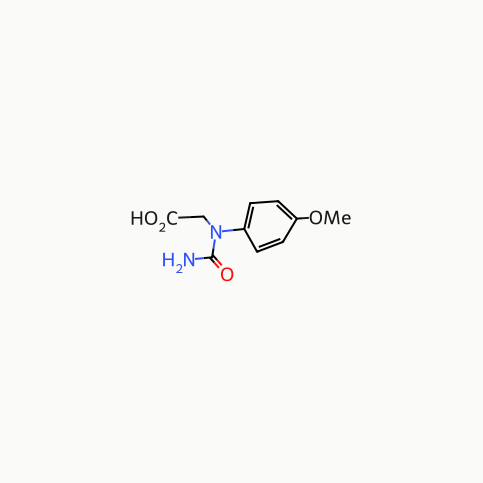 COc1ccc(N(CC(=O)O)C(N)=O)cc1